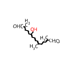 CC(C=O)=CC=CC(C)=CC=CC=C(C=CC=C(C)C=O)CO